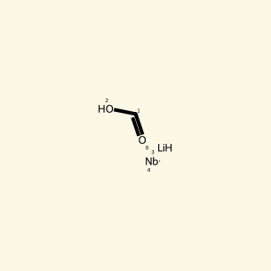 O=CO.[LiH].[Nb]